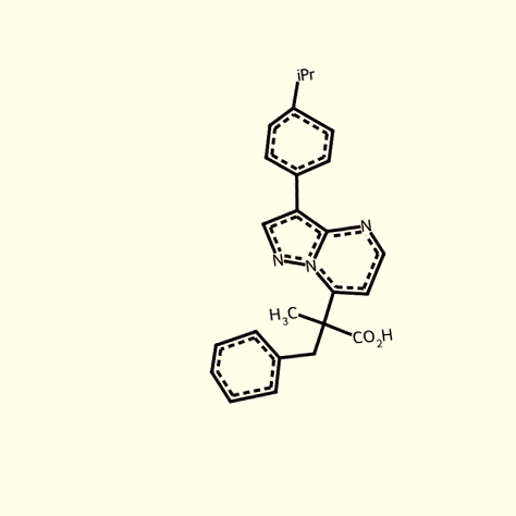 CC(C)c1ccc(-c2cnn3c(C(C)(Cc4ccccc4)C(=O)O)ccnc23)cc1